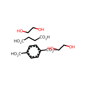 O=C(O)CCC(=O)O.O=C(O)c1ccc(C(=O)O)cc1.OCCO.OCCO